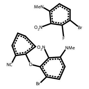 CNc1ccc(Br)c(F)c1[N+](=O)[O-].CNc1ccc(Br)c(Oc2ccccc2C#N)c1[N+](=O)[O-]